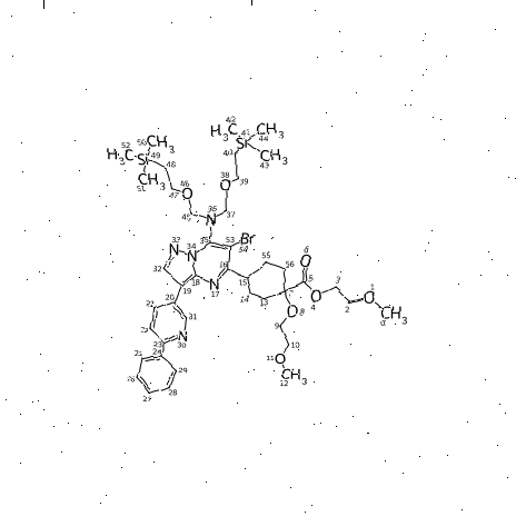 COCCOC(=O)C1(OCCOC)CCC(c2nc3c(-c4ccc(-c5ccccc5)nc4)cnn3c(N(COCC[Si](C)(C)C)COCC[Si](C)(C)C)c2Br)CC1